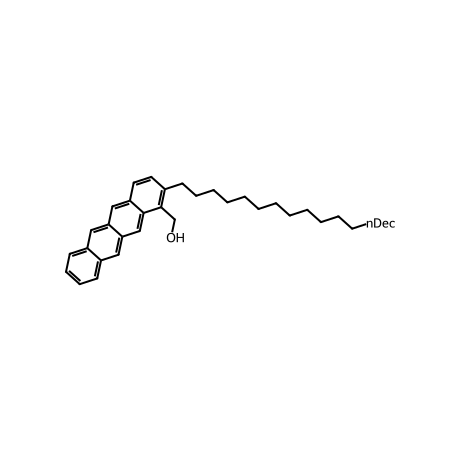 CCCCCCCCCCCCCCCCCCCCCCc1ccc2cc3cc4ccccc4cc3cc2c1CO